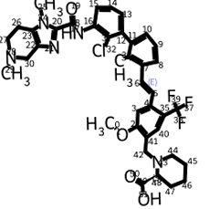 COc1cc(/C=C/c2cccc(-c3cccc(NC(=O)c4nc5c(n4C)CCN(C)C5)c3Cl)c2C)c(C(F)(F)F)cc1CN1CCCC[C@H]1C(=O)O